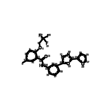 Cc1ccc(OCC(F)(F)F)c(C(=O)Nc2cccc(-c3nnc(-c4ccco4)o3)c2)c1